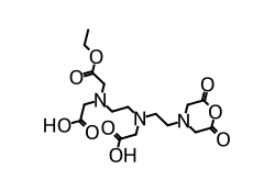 CCOC(=O)CN(CCN(CCN1CC(=O)OC(=O)C1)CC(=O)O)CC(=O)O